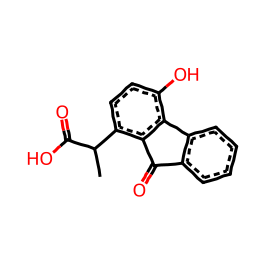 CC(C(=O)O)c1ccc(O)c2c1C(=O)c1ccccc1-2